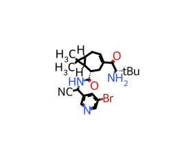 CC(C)(C)[C@H](N)C(=O)C1=CC[C@H]2[C@@H]([C@@H](C(=O)NC(C#N)c3cncc(Br)c3)C1)C2(C)C